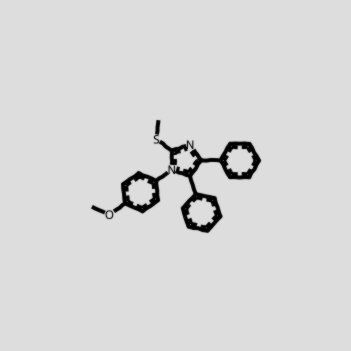 COc1ccc(-n2c(SC)nc(-c3ccccc3)c2-c2ccccc2)cc1